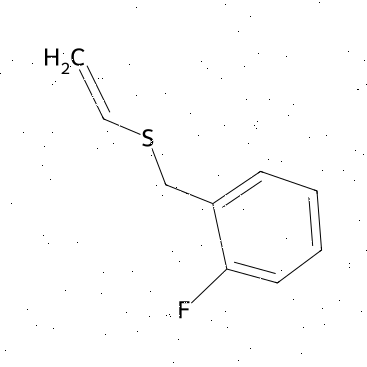 C=CSCc1ccccc1F